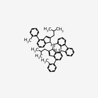 Cc1ccccc1-c1cccc2c1C=C(CC(C)C)[CH]2[Hf]([c]1cccc2c1[SiH2]c1ccccc1-2)[CH]1C(CC(C)C)=Cc2c(-c3ccccc3C)cccc21